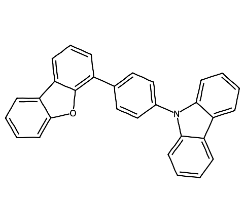 c1ccc2c(c1)oc1c(-c3ccc(-n4c5ccccc5c5ccccc54)cc3)cccc12